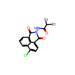 CCC(CC)C(=O)NN1C(=O)c2cccc3c(Cl)ccc(c23)C1=O